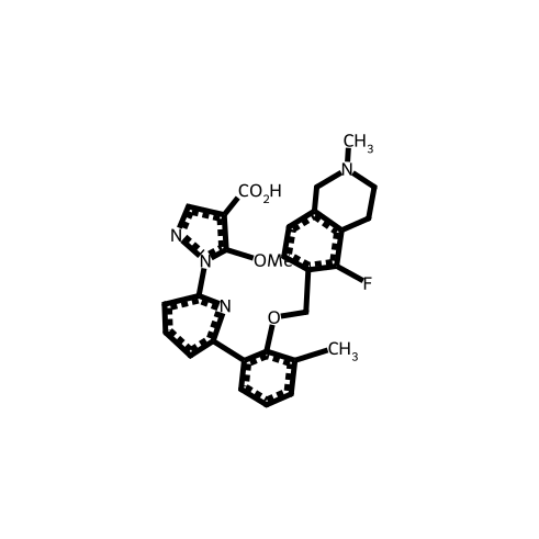 COc1c(C(=O)O)cnn1-c1cccc(-c2cccc(C)c2OCc2ccc3c(c2F)CCN(C)C3)n1